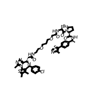 Cc1ncsc1-c1ccc([C@H](C)NC(=O)[C@@H]2CCCN2C(=O)[C@@H](NC(=O)COCCCOCCNC(=O)C[C@@H]2N=C(c3ccc(Cl)cc3)c3c(sc(C)c3C)-n3c(C)nnc32)C(C)(C)C)cc1